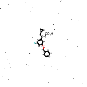 O=C(O)C[C@@H](CC1CC1)c1cc(F)cc(OCc2ccccc2)c1